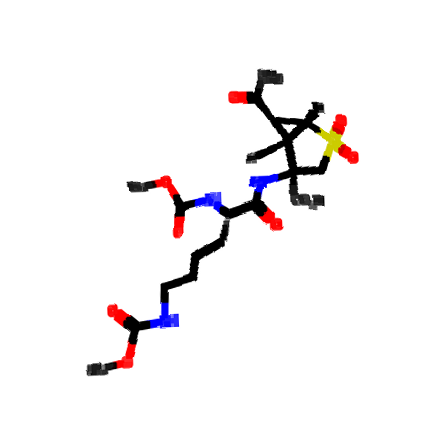 COC(=O)[C@@H]1[C@@H]2[C@H]1S(=O)(=O)C[C@@]2(NC(=O)[C@H](CCCCNC(=O)OC(C)(C)C)NC(=O)OC(C)(C)C)C(=O)O